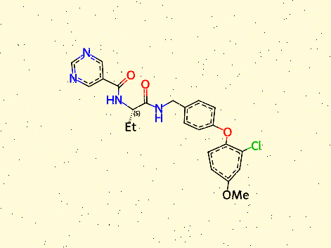 CC[C@H](NC(=O)c1cncnc1)C(=O)NCc1ccc(Oc2ccc(OC)cc2Cl)cc1